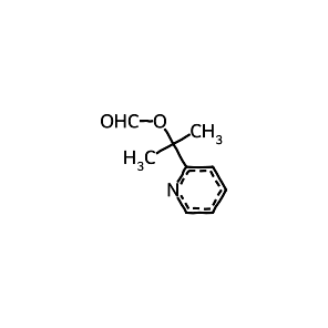 CC(C)(OC=O)c1ccccn1